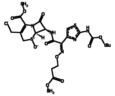 BOC(=O)CCO/N=C(\C(=O)N[C@@H]1C(=O)N2C(C(=O)OB)=C(CCl)C[S+]([O-])[C@H]12)c1csc(NC(=O)OC(C)(C)C)n1